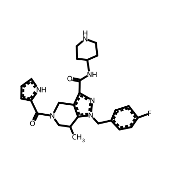 CC1CN(C(=O)c2ccc[nH]2)Cc2c(C(=O)NC3CCNCC3)nn(Cc3ccc(F)cc3)c21